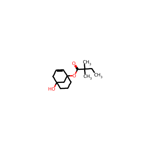 CCC(C)(C)C(=O)OC12C=CCC(O)(CCC1)C2